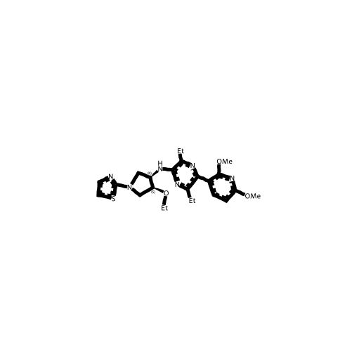 CCO[C@H]1CN(c2nccs2)C[C@H]1Nc1nc(CC)c(-c2ccc(OC)nc2OC)nc1CC